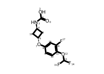 O=C(O)N[C@H]1C[C@H](Oc2ccc(OC(F)F)c(F)c2)C1